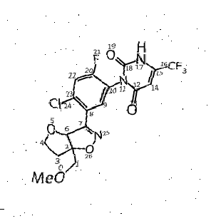 COCC12CCOC1C(c1cc(-n3c(=O)cc(C(F)(F)F)[nH]c3=O)c(F)cc1Cl)=NO2